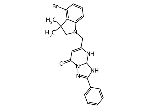 CC1(C)CN(CC2=CC(=O)N3N=C(c4ccccc4)NC3N2)c2cccc(Br)c21